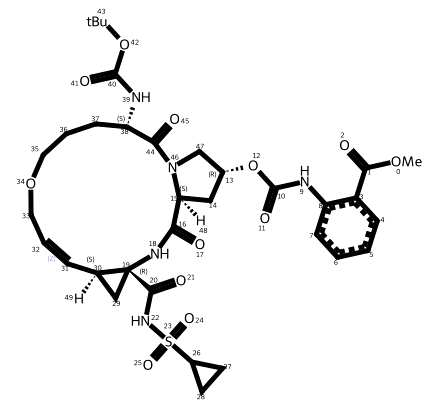 COC(=O)c1ccccc1NC(=O)O[C@@H]1C[C@H]2C(=O)N[C@]3(C(=O)NS(=O)(=O)C4CC4)C[C@H]3/C=C\COCCC[C@H](NC(=O)OC(C)(C)C)C(=O)N2C1